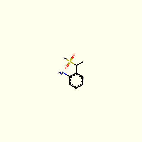 CC(c1ccccc1N)S(C)(=O)=O